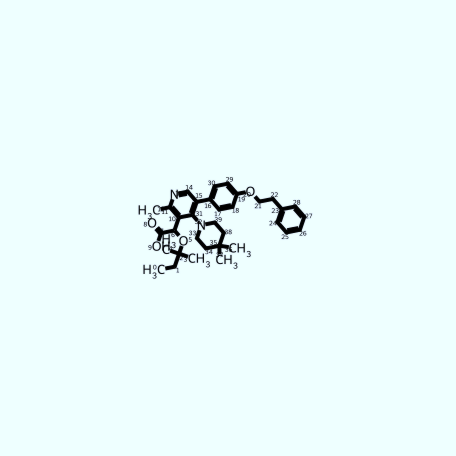 CCC(C)(C)OC(C(=O)O)c1c(C)ncc(-c2ccc(OCCc3ccccc3)cc2)c1N1CCC(C)(C)CC1